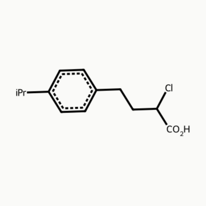 CC(C)c1ccc(CCC(Cl)C(=O)O)cc1